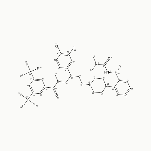 C[C@@H](NC(=O)N(C)C)c1ccccc1N1CCN(CCC(CN(C)C(=O)c2cc(C(F)(F)F)cc(C(F)(F)F)c2)c2ccc(Cl)c(Cl)c2)CC1